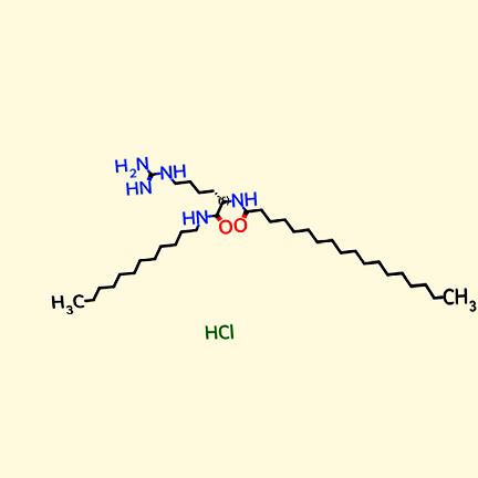 CCCCCCCCCCCCCCCCCC(=O)N[C@@H](CCCCNC(=N)N)C(=O)NCCCCCCCCCCCC.Cl